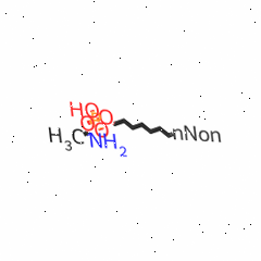 CCCCCCCCCCCCCCCCOP(=O)(O)OC(C)N